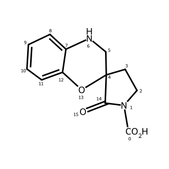 O=C(O)N1CCC2(CNc3ccccc3O2)C1=O